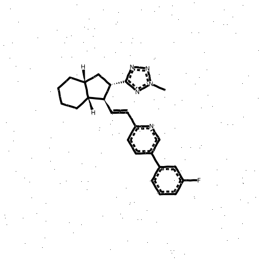 Cn1nnc([C@H]2C[C@H]3CCCC[C@H]3[C@@H]2C=Cc2ccc(-c3cccc(F)c3)cn2)n1